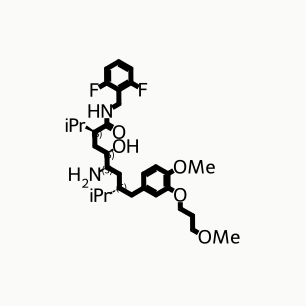 COCCCOc1cc(C[C@@H](C[C@H](N)[C@@H](O)C[C@H](C(=O)NCc2c(F)cccc2F)C(C)C)C(C)C)ccc1OC